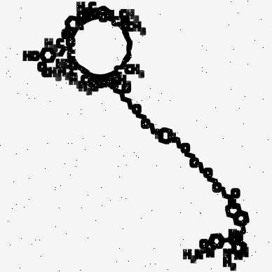 CO[C@H]1C[C@@H]2CC[C@@H](C)[C@@](O)(O2)C(=O)C(=O)N2CCCC[C@H]2C(=O)O[C@H]([C@H](C)C[C@@H]2CC[C@@H](O)[C@H](OC)C2)C[C@@H](O)[C@H](C)/C=C(\C)[C@@H](O)[C@@H](OC)/C(=N/OCC(=O)CCCOCCOCCN2CCN(CCOCCOCCOCCOCCC(=O)N3CCc4cc(Cn5nc(-c6ccc7oc(N)nc7c6)c6c(N)nncc65)ccc4C3)CC2)[C@H](C)C[C@H](C)/C=C/C=C/C=C/1C